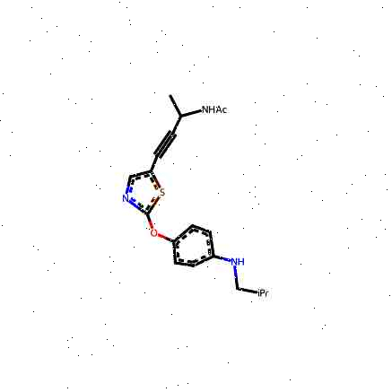 CC(=O)NC(C)C#Cc1cnc(Oc2ccc(NCC(C)C)cc2)s1